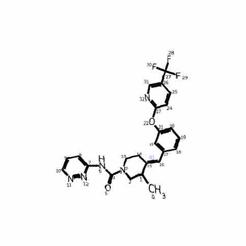 CC1CN(C(=O)Nc2cccnn2)CC/C1=C\c1cccc(Oc2ccc(C(F)(F)F)cn2)c1